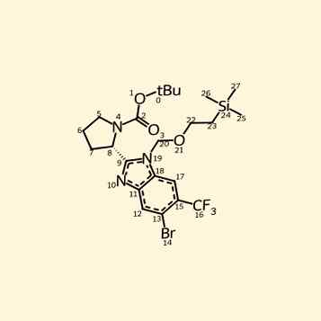 CC(C)(C)OC(=O)N1CCC[C@H]1c1nc2cc(Br)c(C(F)(F)F)cc2n1COCC[Si](C)(C)C